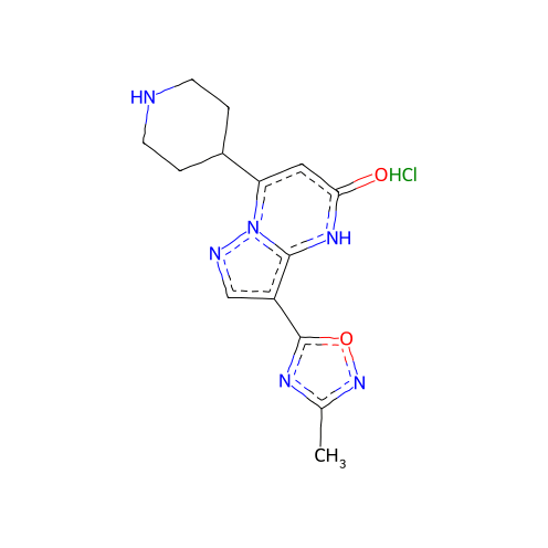 Cc1noc(-c2cnn3c(C4CCNCC4)cc(=O)[nH]c23)n1.Cl